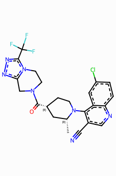 C[C@@H]1C[C@H](C(=O)N2CCn3c(nnc3C(F)(F)F)C2)CCN1c1c(C#N)cnc2ccc(Cl)cc12